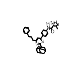 CC(C)C(N)C(=O)Nc1ccc(-c2cc(CCCc3ccccc3)nc(C34CC5CC(CC(C5)C3)C4)n2)cc1